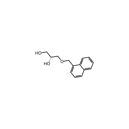 OC[C@@H](O)COCc1cccc2ccccc12